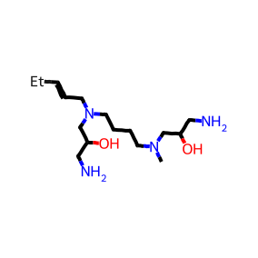 CCC=CCN(CCCCN(C)CC(O)CN)CC(O)CN